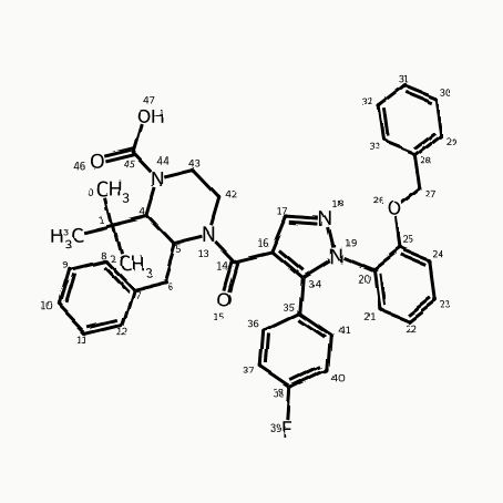 CC(C)(C)C1C(Cc2ccccc2)N(C(=O)c2cnn(-c3ccccc3OCc3ccccc3)c2-c2ccc(F)cc2)CCN1C(=O)O